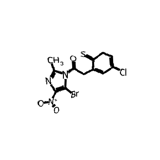 Cc1nc([N+](=O)[O-])c(Br)n1C(=O)CC1=CC(Cl)=CCC1=S